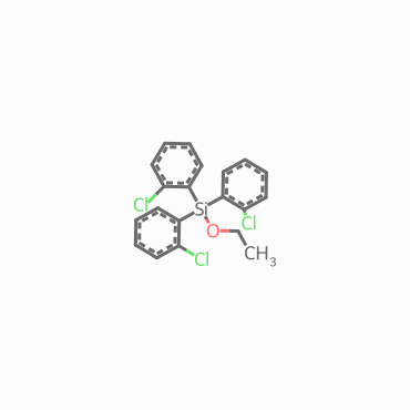 CCO[Si](c1ccccc1Cl)(c1ccccc1Cl)c1ccccc1Cl